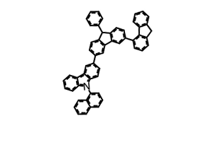 c1ccc(C2c3ccc(-c4ccc5c(c4)c4ccccc4n5-c4cccc5ccccc45)cc3-c3cc(-c4cccc5c4-c4ccccc4C5)ccc32)cc1